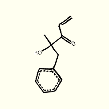 C=CC(=O)C(C)(O)Cc1ccccc1